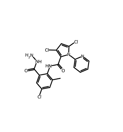 Cc1cc(Cl)cc(C(=O)NN)c1NC(=O)c1c(Cl)cc(Cl)n1-c1ccccn1